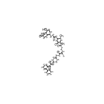 COc1cc(NC(=O)CCCN(C)C(=O)CCN2CCC(OC(=O)Nc3ccccc3-c3ccccc3)CC2)c(Cl)cc1CNCCc1ccc(O)c2[nH]c(=O)ccc12